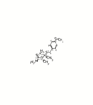 COc1ccc(CSC(C)(C)[C@H](C)C(N)=S)cc1